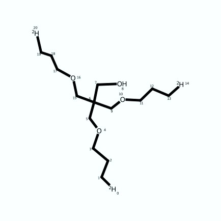 [2H]CCCOCC(CO)(COCCC[2H])COCCC[2H]